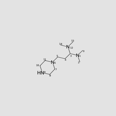 CN(C)C(CCN1CCNCC1)N(C)C